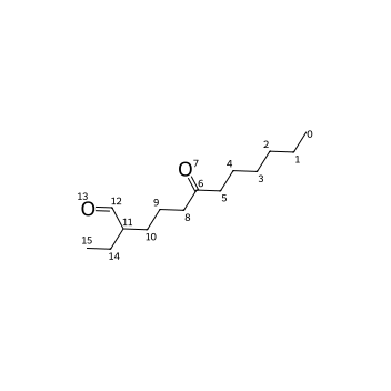 CCCCCCC(=O)CCCC(C=O)CC